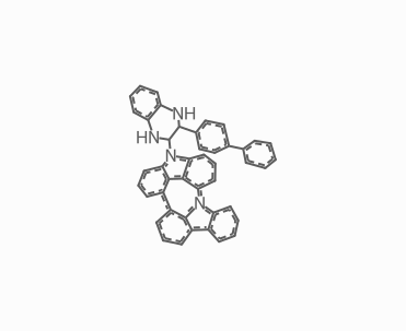 c1ccc(-c2ccc(C3Nc4ccccc4NC3n3c4cccc5c6cccc7c8ccccc8n(c8cccc3c8c54)c67)cc2)cc1